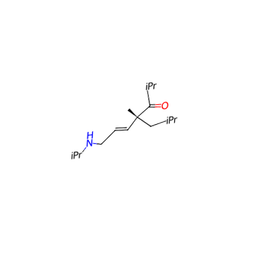 CC(C)C[C@](C)(/C=C/CNC(C)C)C(=O)C(C)C